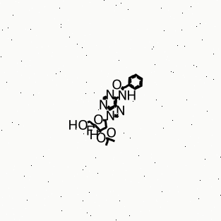 CC1(C)OC2[C@H](n3cnc4c(NC(=O)c5ccccc5)ncnc43)OC(F)(CO)[C@@H]2O1